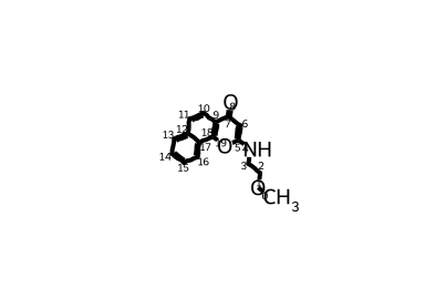 COCCNc1cc(=O)c2ccc3ccccc3c2o1